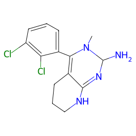 CN1C(c2cccc(Cl)c2Cl)=C2CCCNC2=NC1N